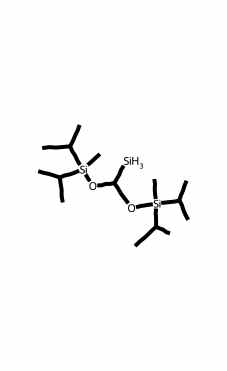 CC(C)[Si](C)(OC([SiH3])O[Si](C)(C(C)C)C(C)C)C(C)C